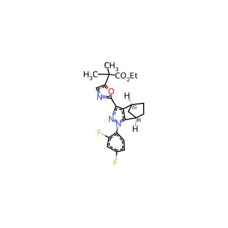 CCOC(=O)C(C)(C)c1cnc(-c2nn(-c3ccc(F)cc3F)c3c2[C@H]2CC[C@@H]3C2)o1